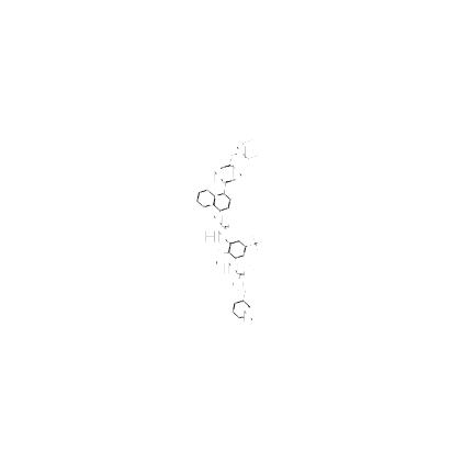 COc1c(NC(=O)Nc2ccc(-c3cnc(CN4CCOCC4)cn3)c3ccccc23)cc(C(C)(C)C)cc1NC(=O)OCc1cccnc1